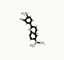 CN(C)c1ccc2nc(-c3ccc(N)c(F)c3)ccc2c1